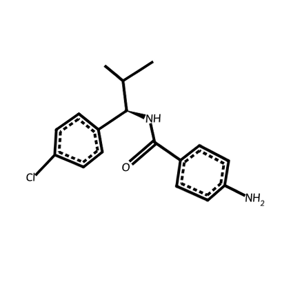 CC(C)[C@@H](NC(=O)c1ccc(N)cc1)c1ccc(Cl)cc1